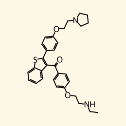 CCNCCOc1ccc(C(=O)c2c(-c3ccc(OCCN4CCCC4)cc3)sc3ccccc23)cc1